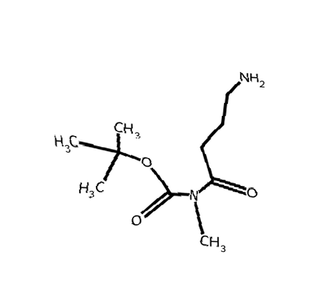 CN(C(=O)CCCN)C(=O)OC(C)(C)C